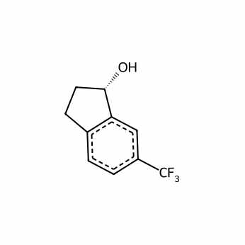 O[C@H]1CCc2ccc(C(F)(F)F)cc21